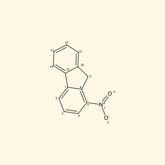 O=[N+]([O-])c1cccc2c1Cc1ccccc1-2